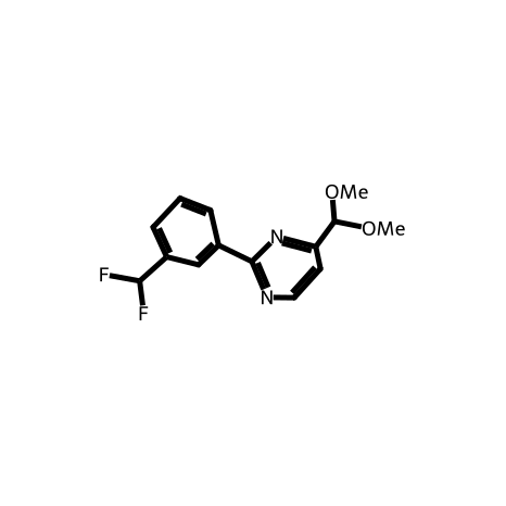 COC(OC)c1ccnc(-c2cccc(C(F)F)c2)n1